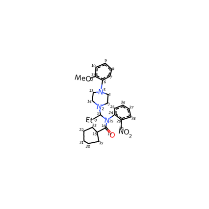 CCC(N1CCN(c2ccccc2OC)CC1)N(C(=O)C1CCCCC1)c1ccccc1[N+](=O)[O-]